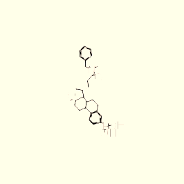 CN(Cc1ccccc1)C(=O)CC[C@@H]1CO[C@@]2(C)CCC3c4ccc(B(O)O)cc4CCC3C12